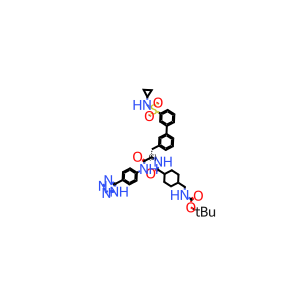 CC(C)(C)OC(=O)NCC1CCC(C(=O)N[C@@H](Cc2cccc(-c3cccc(S(=O)(=O)NC4CC4)c3)c2)C(=O)Nc2ccc(-c3nnn[nH]3)cc2)CC1